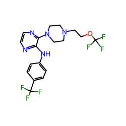 FC(F)(F)OCCN1CCN(c2nccnc2Nc2ccc(C(F)(F)F)cc2)CC1